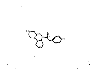 CCCN(C(=O)Cc1ccc(F)cc1)C1CC=CCC1N1CCNCC1